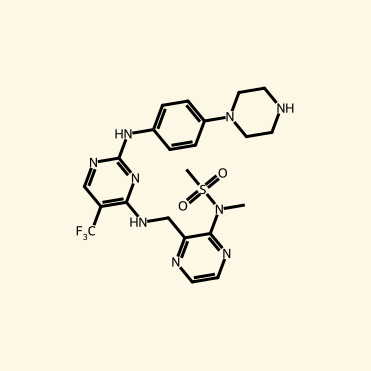 CN(c1nccnc1CNc1nc(Nc2ccc(N3CCNCC3)cc2)ncc1C(F)(F)F)S(C)(=O)=O